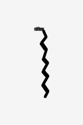 CC=CC=CC=CC=CCCCCCCC